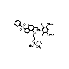 COc1cc(OC)c(F)c(NCc2cnc3c(ccn3S(=O)(=O)c3ccccc3)c2NCCO[Si](C)(C)C(C)(C)C)c1F